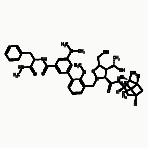 CNC(=O)C(Cc1ccccc1)NC(=O)c1cc(-c2cccc(CN3O[C@@H](CO)[C@@H]([C@H](C)O)[C@H]3C(=O)N[C@H]3C[C@H]4C[C@@H]([C@@H]3C)C4(C)C)c2OC)cc(N(C)C)c1